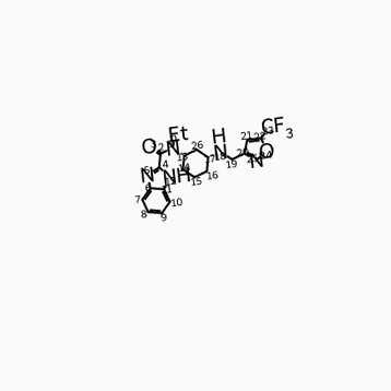 CCN(C(=O)c1nc2ccccc2[nH]1)[C@H]1CCC[C@@H](NCc2cc(C(F)(F)F)on2)C1